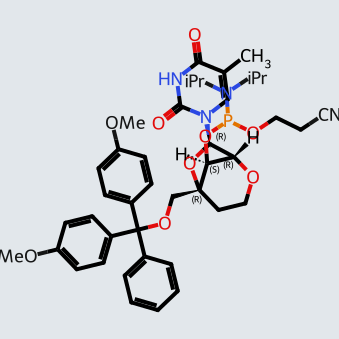 COc1ccc(C(OC[C@@]23CCO[C@@H]([C@H](n4cc(C)c(=O)[nH]c4=O)O2)[C@@H]3OP(OCCC#N)N(C(C)C)C(C)C)(c2ccccc2)c2ccc(OC)cc2)cc1